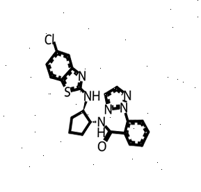 O=C(N[C@@H]1CCC[C@H]1Nc1nc2cc(Cl)ccc2s1)c1ccccc1-n1nccn1